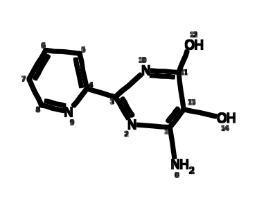 Nc1nc(-c2ccccn2)nc(O)c1O